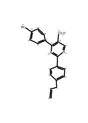 C=CCc1ccc(-c2ncc(C(=O)O)c(-c3ccc(C#N)cc3)n2)cc1